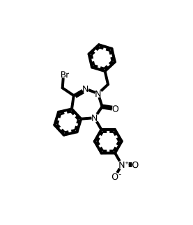 O=C1N(Cc2ccccc2)N=C(CBr)c2ccccc2N1c1ccc([N+](=O)[O-])cc1